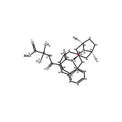 COC(=O)C(C)(C)NC(=O)c1nc2ccccc2n([C@H]2C[C@H]3CC[C@@H](C2)N3C2CCCCCCC2)c1=O